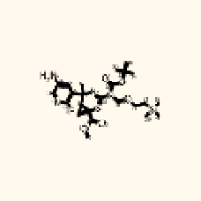 COC(=O)C12CC1C(C)(c1cc(N)cnc1F)N=C(N(COCC[Si](C)(C)C)C(=O)OC(C)(C)C)S2